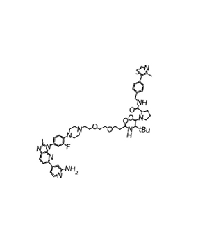 Cc1ncsc1-c1ccc(CNC(=O)C2CCCN2C(=O)C(NC(=O)CCOCCOCCN2CCN(c3ccc(-n4c(C)nc5ccc(-c6ccnc(N)c6)nc54)cc3F)CC2)C(C)(C)C)cc1